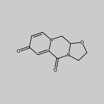 O=C1c2cc(=O)ccn2CC2OCCN12